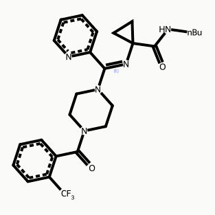 CCCCNC(=O)C1(/N=C(\c2ccccn2)N2CCN(C(=O)c3ccccc3C(F)(F)F)CC2)CC1